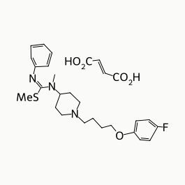 CSC(=Nc1ccccc1)N(C)C1CCN(CCCCOc2ccc(F)cc2)CC1.O=C(O)/C=C/C(=O)O